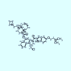 CN(C)CCOc1ccc2[nH]c(C(=O)N3C[C@@H](CCl)c4c3cc(OC(=O)N3CCN(CCN5CCC5)[C@H]5CSSCC[C@H]53)c3ccccc43)cc2c1